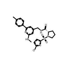 CNc1cc(CNC(=O)[C@@H]2CCCN2S(=O)(=O)c2ccc(Cl)s2)cc(-c2ccc(C)cc2)n1